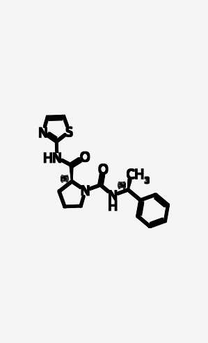 C[C@H](NC(=O)N1CCC[C@H]1C(=O)Nc1nccs1)c1ccccc1